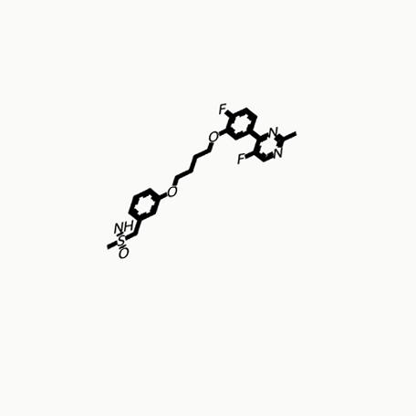 Cc1ncc(F)c(-c2ccc(F)c(OCCCCOc3cccc(CS(C)(=N)=O)c3)c2)n1